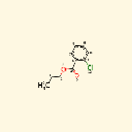 CCCOC(=O)c1ccccc1Cl